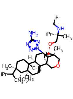 CC(C)CN[C@@](C)(CO[C@H]1[C@H](n2nnc(N)n2)C[C@@]23COC[C@@]1(C)[C@@H]2CC[C@H]1C3=CC[C@@]2(C)[C@H](C(=O)O)[C@@](C)(C(C)C(C)C)CC[C@]12C)C(C)C